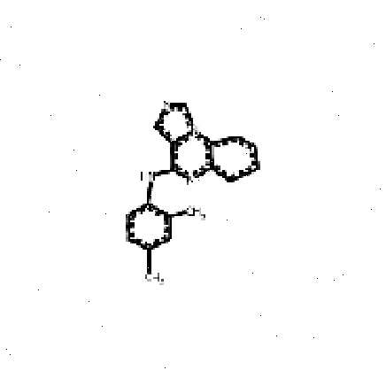 Cc1ccc(Nc2nc3ccccc3n3cncc23)c(C)c1